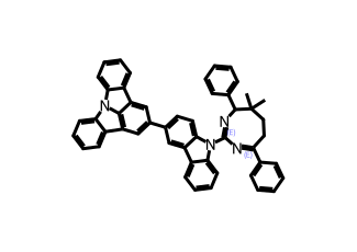 CC1(C)CC/C(c2ccccc2)=N\C(n2c3ccccc3c3cc(-c4cc5c6ccccc6n6c7ccccc7c(c4)c56)ccc32)=N/C1c1ccccc1